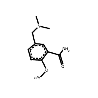 CCCOc1ccc(CN(C)C)cc1C(N)=O